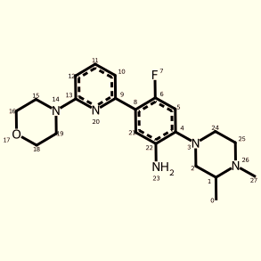 CC1CN(c2cc(F)c(-c3cccc(N4CCOCC4)n3)cc2N)CCN1C